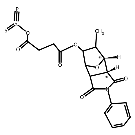 CC1C(OC(=O)CCC(=O)OS(#P)=S)C2O[C@H]1[C@@H]1C(=O)N(c3ccccc3)C(=O)C21